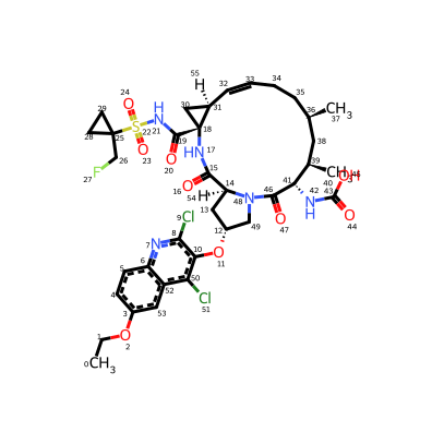 CCOc1ccc2nc(Cl)c(O[C@@H]3C[C@H]4C(=O)N[C@]5(C(=O)NS(=O)(=O)C6(CF)CC6)C[C@H]5C=CCC[C@@H](C)C[C@@H](C)[C@H](NC(=O)O)C(=O)N4C3)c(Cl)c2c1